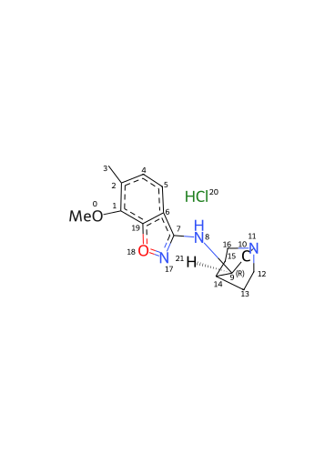 COc1c(C)ccc2c(N[C@H]3CN4CCC3CC4)noc12.Cl